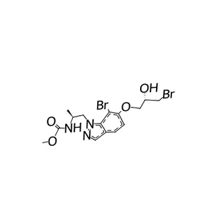 COC(=O)N[C@@H](C)Cn1ncc2ccc(OC[C@H](O)CBr)c(Br)c21